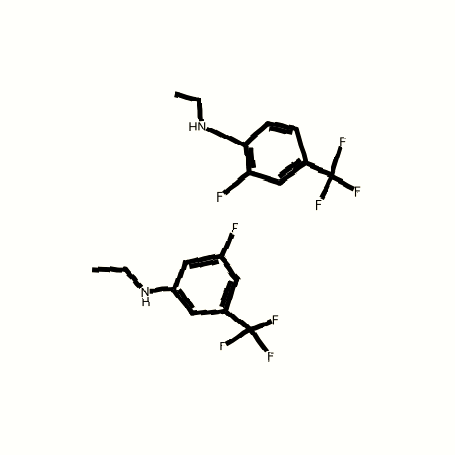 CCNc1cc(F)cc(C(F)(F)F)c1.CCNc1ccc(C(F)(F)F)cc1F